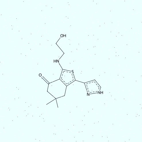 CC1(C)CC(=O)c2c(NCCO)sc(-c3cc[nH]n3)c2C1